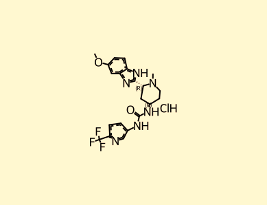 COc1ccc2[nH]c([C@H]3C[C@H](NC(=O)Nc4ccc(C(F)(F)F)nc4)CCN3C)nc2c1.Cl